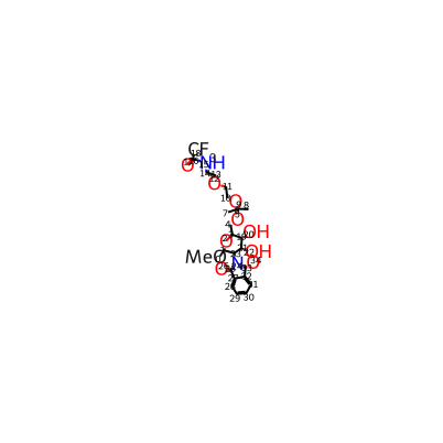 COC1OC(COC(C)(C)OCCOCCNC(=O)C(F)(F)F)C(O)C(O)C1N1C(=O)c2ccccc2C1=O